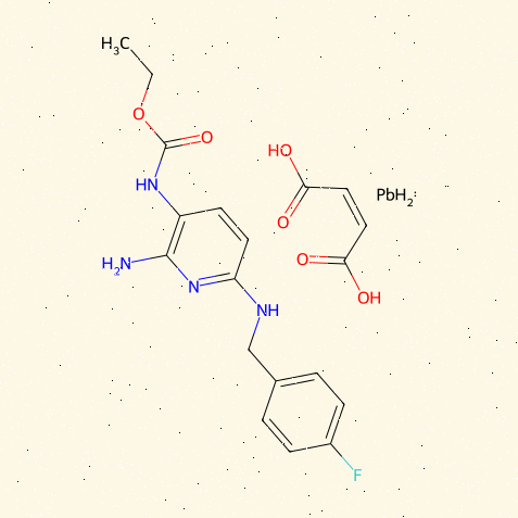 CCOC(=O)Nc1ccc(NCc2ccc(F)cc2)nc1N.O=C(O)/C=C\C(=O)O.[PbH2]